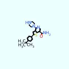 CC(C)(C)c1ccc(-c2cc3c(N4CCNCC4)ncc(C(N)=O)c3s2)cc1